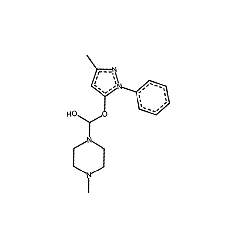 Cc1cc(OC(O)N2CCN(C)CC2)n(-c2ccccc2)n1